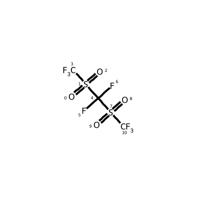 O=S(=O)(C(F)(F)F)C(F)(F)S(=O)(=O)C(F)(F)F